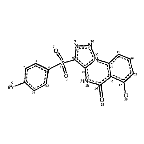 CC(C)c1ccc(S(=O)(=O)c2nnn3c2[nH]c(=O)c2c(Cl)cccc23)cc1